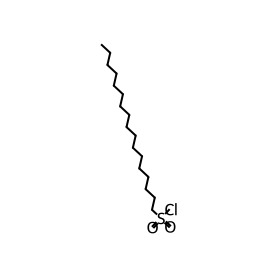 CCCCCCCCCCCCCCCCCS(=O)(=O)Cl